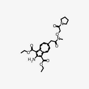 CCOC(=O)c1c2ccc(CC(=O)N(C)OCC(=O)N3CCCC3)ccc-2c(C(=O)OCC)c1N